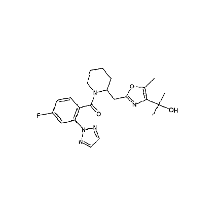 Cc1oc(CC2CCCCN2C(=O)c2ccc(F)cc2-n2nccn2)nc1C(C)(C)O